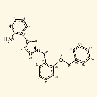 Nc1ncccc1-c1cn(Cc2ccccc2OCc2ccccc2)nn1